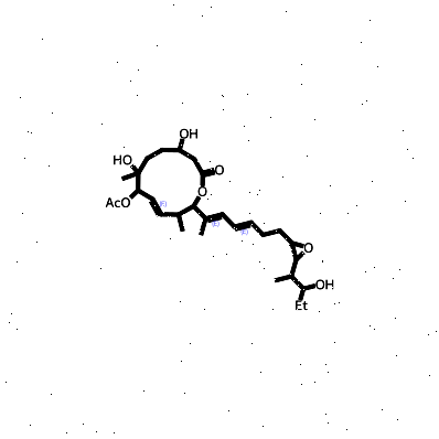 CCC(O)C(C)C1OC1CC/C=C/C=C(\C)C1OC(=O)CC(O)CCC(C)(O)C(OC(C)=O)/C=C/C1C